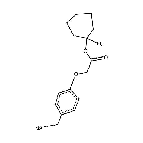 CCC1(OC(=O)COc2ccc(CC(C)(C)C)cc2)CCCCC1